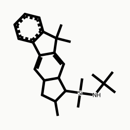 CC1CC2C=C3C(=CC2C1[Si](C)(C)NC(C)(C)C)C(C)(C)c1ccccc13